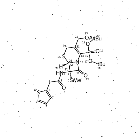 CS[C@@]1(NC(=O)Cc2cccs2)C(=O)N2C(P(=O)(OC(C)(C)C)OC(C)(C)C)=C(COC(C)=O)CS[C@H]21